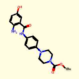 CC(C)(C)OC(=O)N1CCN(c2ccc(NC(=O)c3cc(O)ccc3N)cc2)CC1